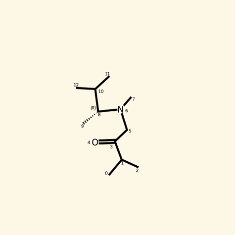 CC(C)C(=O)CN(C)[C@H](C)C(C)C